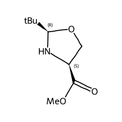 COC(=O)[C@@H]1CO[C@H](C(C)(C)C)N1